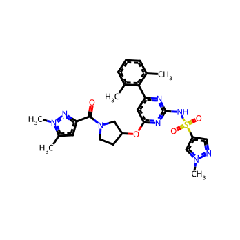 Cc1cccc(C)c1-c1cc(OC2CCN(C(=O)c3cc(C)n(C)n3)C2)nc(NS(=O)(=O)c2cnn(C)c2)n1